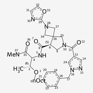 CCCCCCCCO[C@H](C)C(NC(=O)[C@@H]1CN(C(=O)c2cnn(Cc3ccccc3)c2)CC12CN(c1ncco1)C2)C(=O)NC